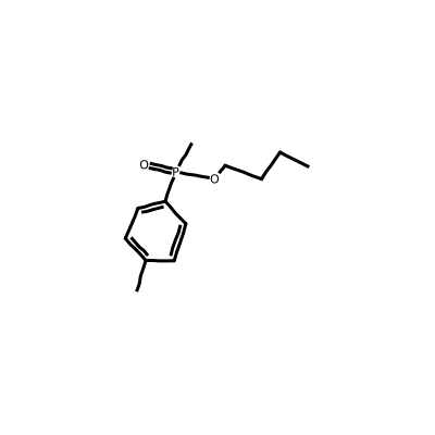 CCCCOP(C)(=O)c1ccc(C)cc1